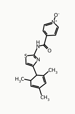 CC1=CC(C)C(c2csc(NC(=O)c3cc[n+]([O-])cc3)n2)C(C)=C1